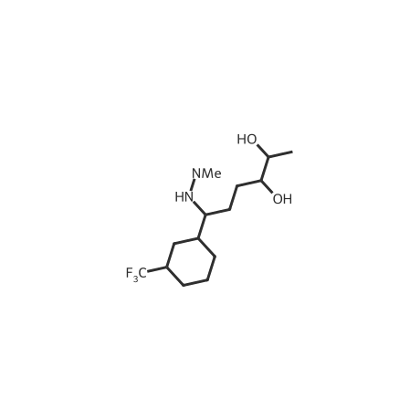 CNNC(CCC(O)C(C)O)C1CCCC(C(F)(F)F)C1